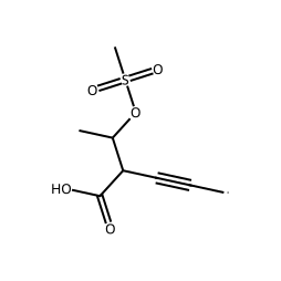 [CH2]C#CC(C(=O)O)C(C)OS(C)(=O)=O